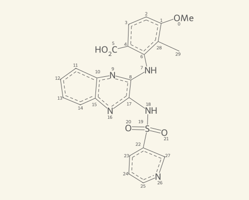 COc1ccc(C(=O)O)c(Nc2nc3ccccc3nc2NS(=O)(=O)c2cccnc2)c1C